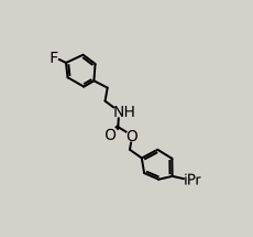 CC(C)c1ccc(COC(=O)NCCc2ccc(F)cc2)cc1